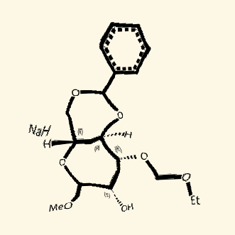 CCOCO[C@H]1[C@@H]2OC(c3ccccc3)OC[C@H]2OC(OC)[C@H]1O.[NaH]